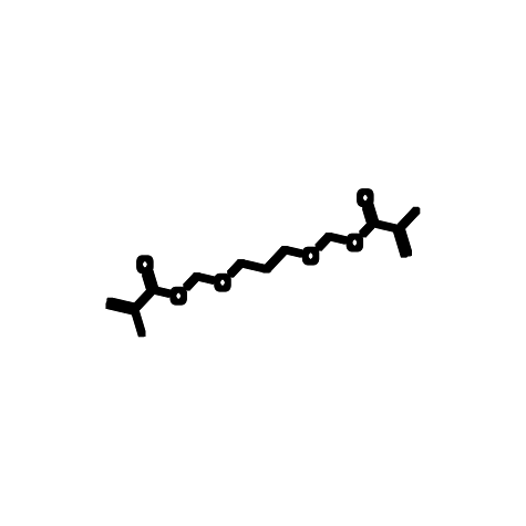 C=C(C)C(=O)OCOCCCOCOC(=O)C(=C)C